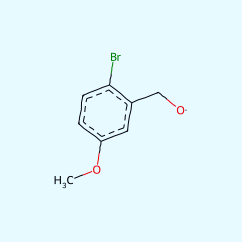 COc1ccc(Br)c(C[O])c1